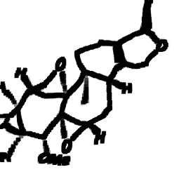 CO[C@@H]1[C@@]2(C(C)C)O[C@H]2[C@@H]2O[C@]23[C@]12O[C@H]2C[C@H]1C2=C(CC[C@@]13C)C(=O)OC2